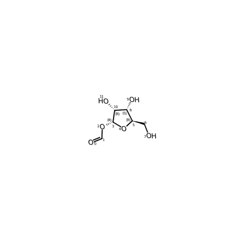 O=CO[C@H]1O[C@H](CO)[C@@H](O)[C@H]1O